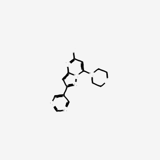 Clc1cc(N2CCOCC2)n2nc(-c3cncnc3)cc2n1